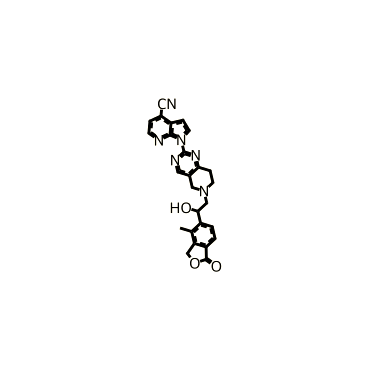 Cc1c(C(O)CN2CCc3nc(-n4ccc5c(C#N)ccnc54)ncc3C2)ccc2c1COC2=O